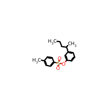 CCCC(C)c1cccc(OS(=O)(=O)c2ccc(C)cc2)c1